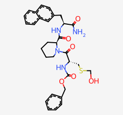 NC(=O)[C@H](Cc1ccc2ccccc2c1)NC(=O)[C@@H]1CCCCN1C(=O)[C@H](CSCO)NC(=O)OCc1ccccc1